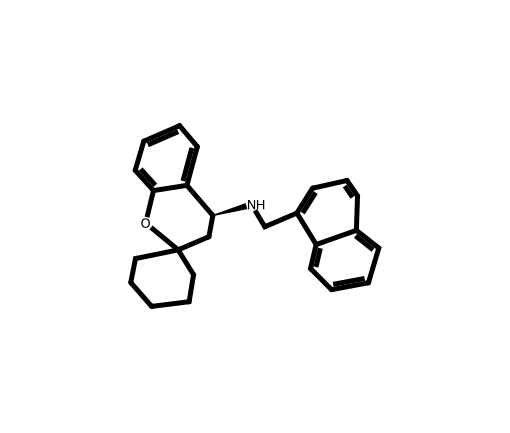 c1ccc2c(c1)OC1(CCCCC1)C[C@@H]2NCc1cccc2ccccc12